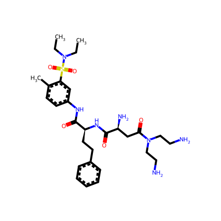 CCN(CC)S(=O)(=O)c1cc(NC(=O)[C@H](CCc2ccccc2)NC(=O)[C@@H](N)CC(=O)N(CCN)CCN)ccc1C